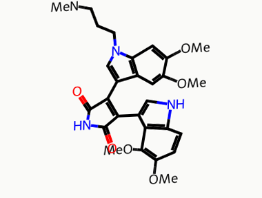 CNCCCn1cc(C2=C(c3c[nH]c4ccc(OC)c(OC)c34)C(=O)NC2=O)c2cc(OC)c(OC)cc21